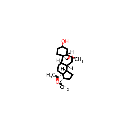 C=C[C@H]1CC[C@H]2[C@@H]3CC[C@H]4C[C@H](O)CC[C@]4(COC)[C@H]3CC[C@]12C(C)=O